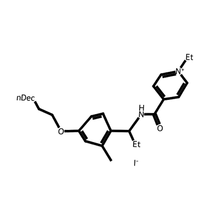 CCCCCCCCCCCCOc1ccc(C(CC)NC(=O)c2cc[n+](CC)cc2)c(C)c1.[I-]